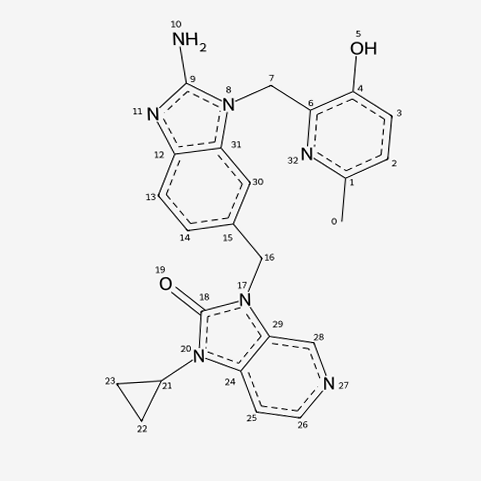 Cc1ccc(O)c(Cn2c(N)nc3ccc(Cn4c(=O)n(C5CC5)c5ccncc54)cc32)n1